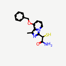 Cc1nc(C(S)C(N)=O)n2cccc(OCc3ccccc3)c12